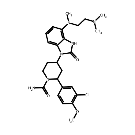 COc1ccc(C2CC(n3c(=O)[nH]c4c(N(C)CCN(C)C)cccc43)CCN2C(N)=O)cc1Cl